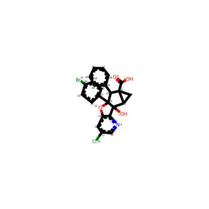 O=C(O)C12CC1C1(O)c3ncc(Cl)cc3OC1(c1ccc(Br)cc1)C2c1ccccc1